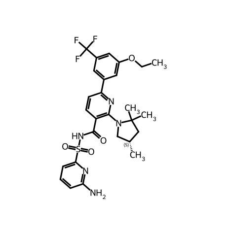 CCOc1cc(-c2ccc(C(=O)NS(=O)(=O)c3cccc(N)n3)c(N3C[C@@H](C)CC3(C)C)n2)cc(C(F)(F)F)c1